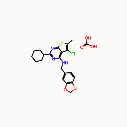 Cc1sc2nc(C3CCCCC3)nc(NCc3ccc4c(c3)OCO4)c2c1Cl.O=C(O)O